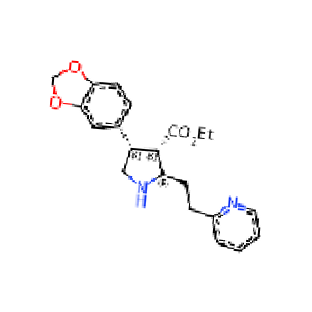 CCOC(=O)[C@H]1[C@@H](c2ccc3c(c2)OCO3)CN[C@@H]1CCc1ccccn1